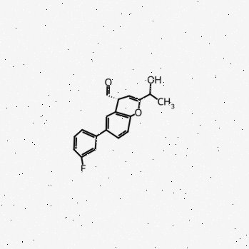 CC(O)C1=C[C@@H](C=O)c2cc(-c3cccc(F)c3)ccc2O1